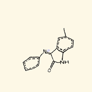 O=C1Nc2ccc(I)cc2/C1=N/c1ccccc1